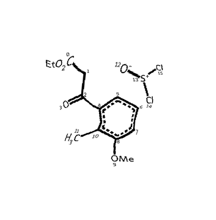 CCOC(=O)CC(=O)c1cccc(OC)c1C.[O-][S+](Cl)Cl